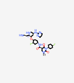 CCn1cc(C(=O)Nc2ccc(OC3=CC(Nc4ncccn4)=CN/C3=C\C=N)c(F)c2)c(=O)n(-c2ccc(F)cc2)c1=O